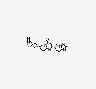 Cc1nc2ccc(-c3cc(=O)n4cc(N5CC6(CCNC6)C5)ccc4n3)nn2n1